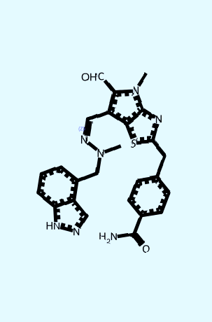 CN(Cc1cccc2[nH]ncc12)/N=C\c1c(C=O)n(C)c2nc(Cc3ccc(C(N)=O)cc3)sc12